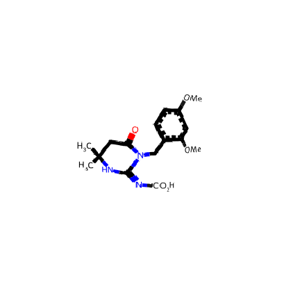 COc1ccc(CN2C(=O)CC(C)(C)N/C2=N/C(=O)O)c(OC)c1